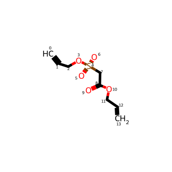 C#CCOS(=O)(=O)CC(=O)OCC=C